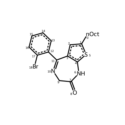 CCCCCCCCc1cc2c(s1)NC(=O)CN=C2c1ccccc1Br